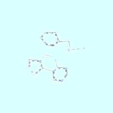 ONCc1ccccc1.c1ccc2c(c1)OCc1conc1-2